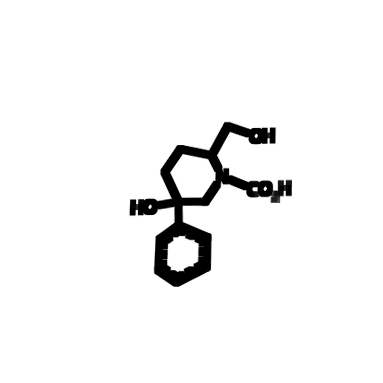 O=C(O)N1CC(O)(c2ccccc2)CCC1CO